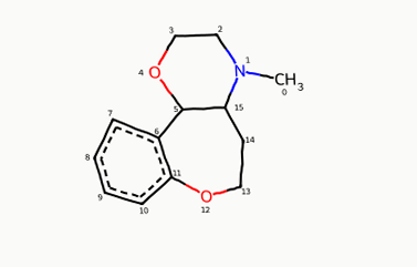 CN1CCOC2c3ccccc3OCCC21